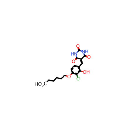 O=C(O)CCCCCOc1ccc(C=C2C(=O)NC(=O)NC2=O)c(O)c1Cl